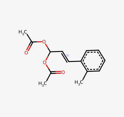 CC(=O)OC(/C=C/c1ccccc1C)OC(C)=O